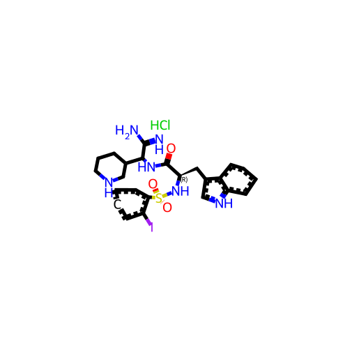 Cl.N=C(N)C(NC(=O)[C@@H](Cc1c[nH]c2ccccc12)NS(=O)(=O)c1ccccc1I)C1CCCNC1